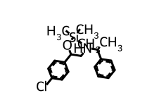 C[C@H](NCC(O[Si](C)(C)C)c1ccc(Cl)cc1)c1ccccc1